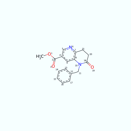 COC(=O)c1cnc2c(c1)N(Cc1ccccc1)C(=O)CC2